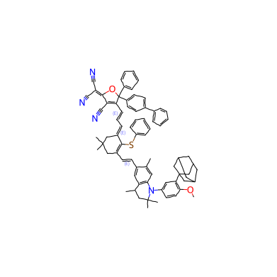 COc1ccc(N2c3cc(C)c(/C=C/C4=C(Sc5ccccc5)C(=C/C=C/C5=C(C#N)C(=C(C#N)C#N)OC5(c5ccccc5)c5ccc(-c6ccccc6)cc5)/CC(C)(C)C4)cc3C(C)CC2(C)C)cc1C12CC3CC(CC(C3)C1)C2